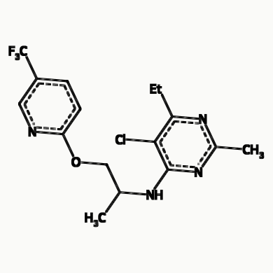 CCc1nc(C)nc(NC(C)COc2ccc(C(F)(F)F)cn2)c1Cl